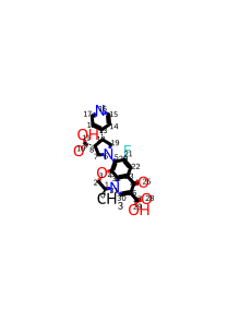 C[C@H]1COc2c(N3C[C@H](C(=O)O)[C@H](c4ccncc4)C3)c(F)cc3c(=O)c(C(=O)O)cn1c23